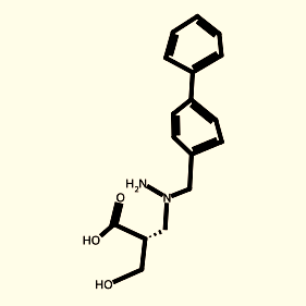 NN(Cc1ccc(-c2ccccc2)cc1)C[C@H](CO)C(=O)O